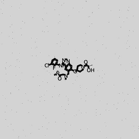 C[C@H](O)C(=O)N1CCC(Oc2cc3ncnc(Nc4cccc(Cl)c4F)c3cc2CN(C)CC(=O)N(C)C)CC1